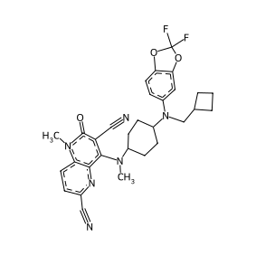 CN(c1c(C#N)c(=O)n(C)c2ccc(C#N)nc12)C1CCC(N(CC2CCC2)c2ccc3c(c2)OC(F)(F)O3)CC1